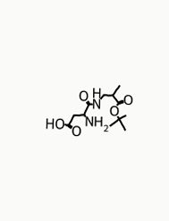 CC(CNC(=O)C(N)CC(=O)O)C(=O)OC(C)(C)C